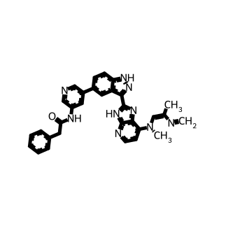 C=N/C(C)=C\N(C)c1ccnc2[nH]c(-c3n[nH]c4ccc(-c5cncc(NC(=O)Cc6ccccc6)c5)cc34)nc12